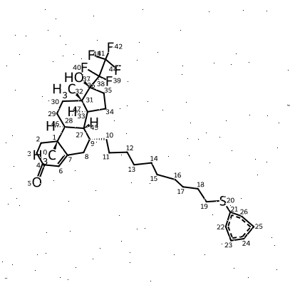 C[C@]12CCC(=O)C=C1C[C@@H](CCCCCCCCCCSc1ccccc1)[C@@H]1[C@@H]2CC[C@@]2(C)[C@H]1CC[C@@]2(O)C(F)(F)C(F)(F)F